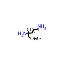 COCC(N)(CCCN)C(=O)O